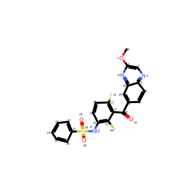 COc1cnc2ccc(C(=O)c3c(F)ccc(NS(=O)(=O)c4ccccc4)c3F)cc2n1